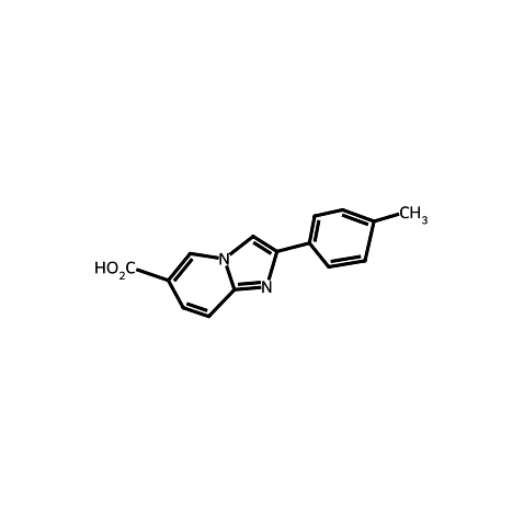 Cc1ccc(-c2cn3cc(C(=O)O)ccc3n2)cc1